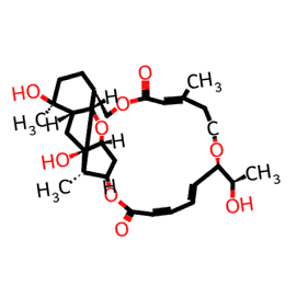 C/C1=C\C(=O)OC[C@@]23CC[C@](C)(O)[C@H]4C[C@]5(O)[C@@H](C[C@@H](OC(=O)/C=C\C=C\[C@H]([C@@H](C)O)OCC1)[C@]25C)O[C@H]43